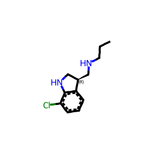 CCCNC[C@@H]1CNc2c(Cl)cccc21